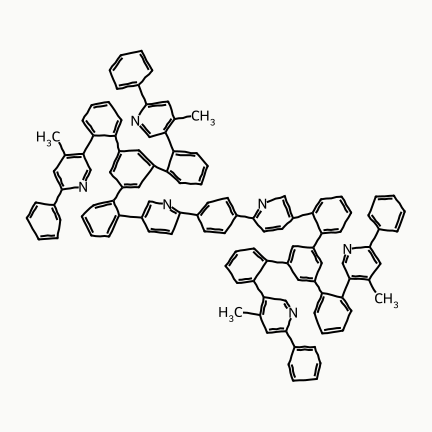 Cc1cc(-c2ccccc2)ncc1-c1ccccc1-c1cc(-c2ccccc2-c2ccc(-c3ccc(-c4ccc(-c5ccccc5-c5cc(-c6ccccc6-c6cnc(-c7ccccc7)cc6C)cc(-c6ccccc6-c6cnc(-c7ccccc7)cc6C)c5)cn4)cc3)nc2)cc(-c2ccccc2-c2cnc(-c3ccccc3)cc2C)c1